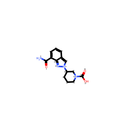 NC(=O)c1cccc2cn(C3CCCN(C(=O)O)C3)nc12